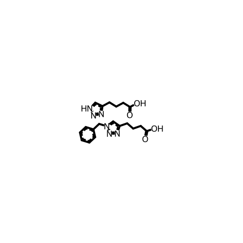 O=C(O)CCCc1c[nH]nn1.O=C(O)CCCc1cn(Cc2ccccc2)nn1